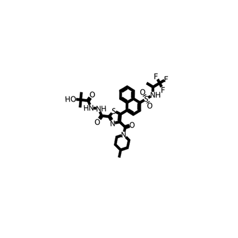 CC1CCN(C(=O)c2nc(C(=O)NNC(=O)C(C)(C)O)sc2-c2ccc(S(=O)(=O)NC(C)C(F)(F)F)c3ccccc23)CC1